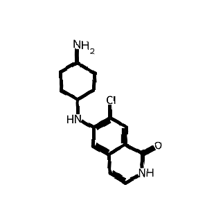 NC1CCC(Nc2cc3cc[nH]c(=O)c3cc2Cl)CC1